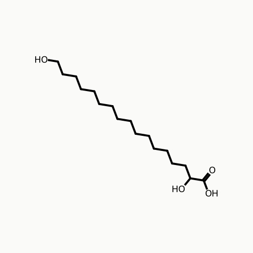 O=C(O)C(O)CCCCCCCCCCCCCCCO